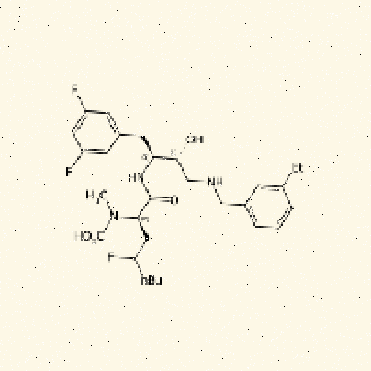 CCCCC(F)C[C@H](C(=O)N[C@@H](Cc1cc(F)cc(F)c1)[C@H](O)CNCc1cccc(CC)c1)N(C)C(=O)O